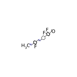 C/C=C/c1ccc(/C=C/C2CCC(c3ccc(C4CO4)c(F)c3F)CC2)cc1F